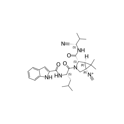 C#[N+][C@]12CN(C(=O)[C@H](CC(C)C)NC(=O)c3cc4ccccc4[nH]3)[C@H](C(=O)N[C@H](C#N)C(C)C)[C@H]1C2(C)C